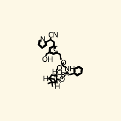 CC1(C)[C@@H]2C[C@H]3OB([C@H](Cc4ccccc4)NC(=O)OCCc4cc(CO)cc(CC(C#N)c5ccccn5)c4)O[C@@]3(C)[C@H]1C2